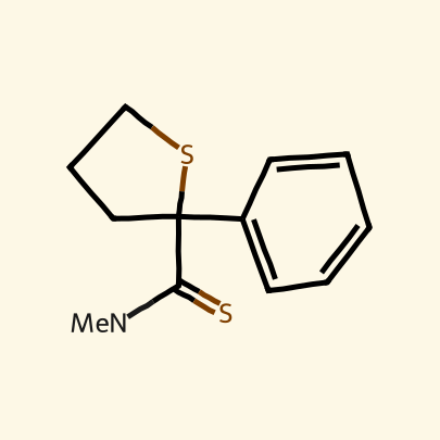 CNC(=S)C1(c2ccccc2)CCCS1